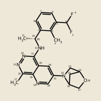 Cc1c(C(F)F)cccc1[C@@H](C)Nc1nnc(C)c2ncc(N3CC4CC3CO4)cc12